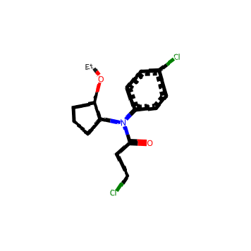 CCOC1CCCC1N(C(=O)CCCl)c1ccc(Cl)cc1